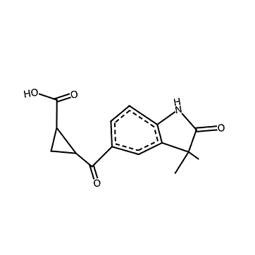 CC1(C)C(=O)Nc2ccc(C(=O)C3CC3C(=O)O)cc21